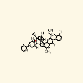 Cc1nc2c(F)c(-c3cccc(Cl)c3Cl)c(CCC#N)cc2c2c1cc([C@H]1[C@H]3C[C@H](CN(c4ncccn4)C3)N1C(=O)C1CC1)n2[C@H]1[C@H]2CN[C@@H]1C2